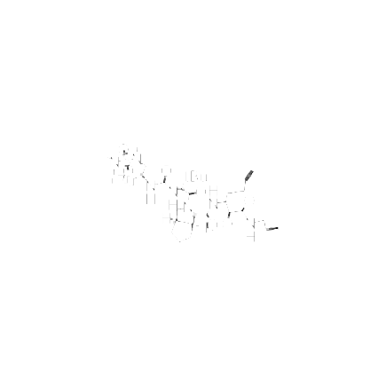 C#CCCC(NC(=O)[C@@H]1[C@H]2CCC[C@H]2CN1C(=O)[C@@H](NC(=O)N[C@H](CN(C)S(=O)(=O)N(C)C)C(C)(C)C)C(C)(C)C)C(=O)C(=O)NCC=C